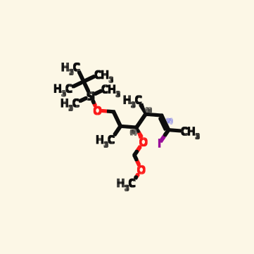 COCO[C@@H](C(C)CO[Si](C)(C)C(C)(C)C)[C@@H](C)/C=C(/C)I